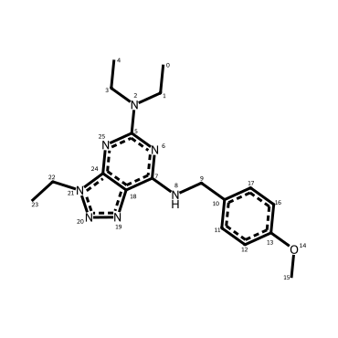 CCN(CC)c1nc(NCc2ccc(OC)cc2)c2nnn(CC)c2n1